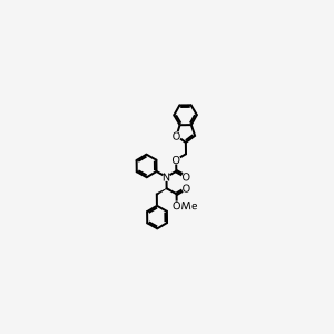 COC(=O)[C@@H](Cc1ccccc1)N(C(=O)OCc1cc2ccccc2o1)c1ccccc1